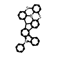 c1ccc(-n2c3ccccc3c3c4c(ccc32)C2c3cccc5c3B3c6c(cccc6Sc6ccc-4c2c63)S5)cc1